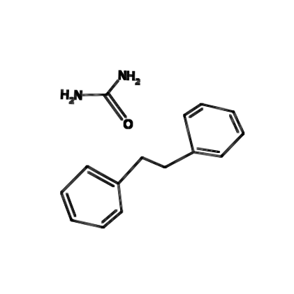 NC(N)=O.c1ccc(CCc2ccccc2)cc1